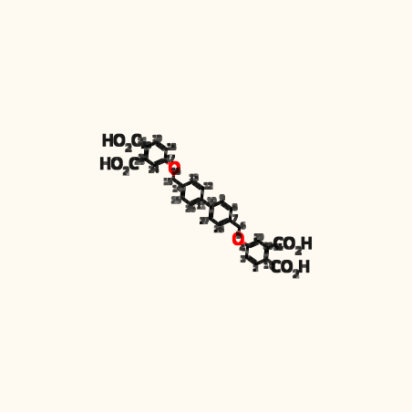 O=C(O)c1ccc(OCc2ccc(-c3ccc(COc4ccc(C(=O)O)c(C(=O)O)c4)cc3)cc2)cc1C(=O)O